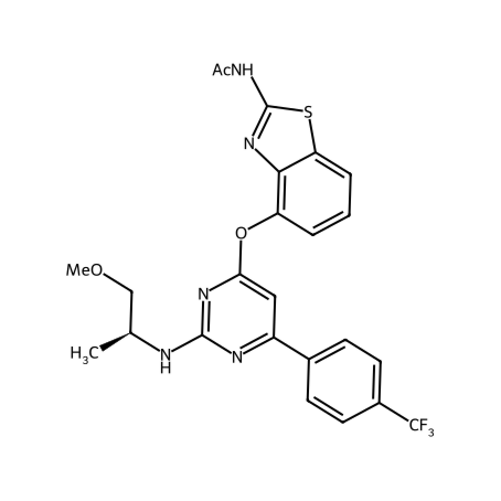 COC[C@H](C)Nc1nc(Oc2cccc3sc(NC(C)=O)nc23)cc(-c2ccc(C(F)(F)F)cc2)n1